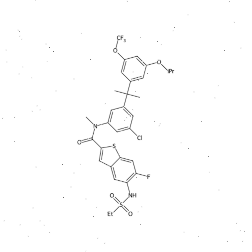 CCS(=O)(=O)Nc1cc2cc(C(=O)N(C)c3cc(Cl)cc(C(C)(C)c4cc(OC(C)C)cc(OC(F)(F)F)c4)c3)sc2cc1F